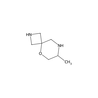 CC1COC2(CNC2)CN1